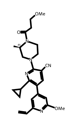 C=Cc1cc(-c2cc(C#N)c(N3CCN(C(=O)CCOC)[C@H](C)C3)nc2C2CC2)cc(OC)n1